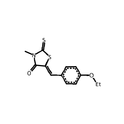 CCOc1ccc(/C=C2\SC(=S)N(C)C2=O)cc1